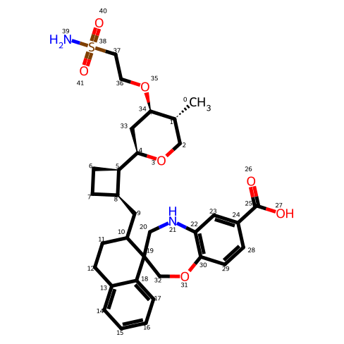 C[C@@H]1CO[C@@H]([C@@H]2CC[C@@H]2CC2CCc3ccccc3C23CNc2cc(C(=O)O)ccc2OC3)C[C@H]1OCCS(N)(=O)=O